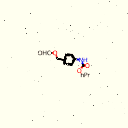 CCCOC(=O)Nc1ccc(COC=O)cc1